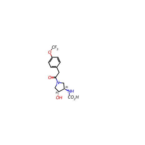 O=C(O)N[C@@H]1CN(C(=O)Cc2ccc(OC(F)(F)F)cc2)C[C@H]1O